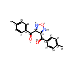 Cc1ccc(C(=O)c2nonc2C(=O)c2ccc(C)cc2)cc1